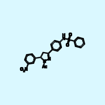 CC(=O)N1N=C(c2ccc(NS(=O)(=O)c3ccccc3)cc2)CC1c1cccc([N+](=O)[O-])c1